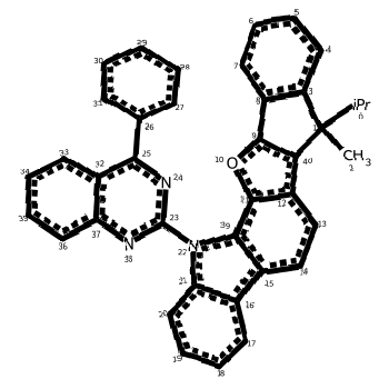 CC(C)C1(C)c2ccccc2-c2oc3c(ccc4c5ccccc5n(-c5nc(-c6ccccc6)c6ccccc6n5)c43)c21